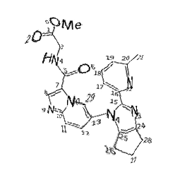 COC(=O)CNC(=O)c1cnc2ccc(-n3c(-c4cccc(C)n4)nc4c3CCC4)cn12